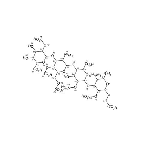 CC(=O)NC1C(C)OC(COS(=O)(=O)O)C(OS(=O)(=O)O)C1OC1OC(C(=O)O)C(OC2OC(COS(=O)(=O)O)C(OS(=O)(=O)O)C(OC3OC(C(=O)O)C(O)C(O)C3OS(=O)(=O)O)C2NC(C)=O)C(O)C1OS(=O)(=O)O